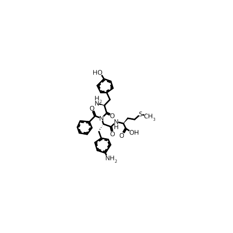 CSCC[C@H](NC(=O)[C@H](Cc1ccc(N)cc1)N(C(=O)c1ccccc1)C(=O)[C@@H](N)Cc1ccc(O)cc1)C(=O)O